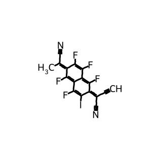 C#C/C(C#N)=c1/c(I)c(F)c2c(F)/c(=C(\C)C#N)c(F)c(F)c2c1F